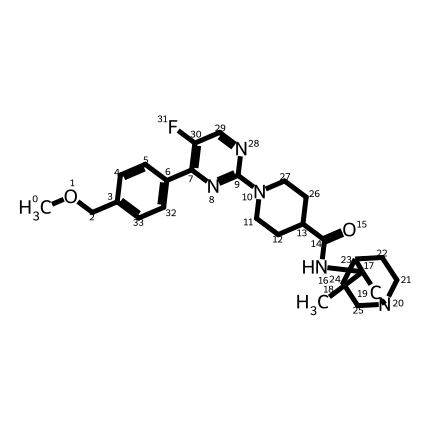 COCc1ccc(-c2nc(N3CCC(C(=O)NC4(C)CN5CCC4CC5)CC3)ncc2F)cc1